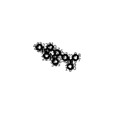 c1ccc(N(c2ccccc2)c2ccc(-c3ccc4c5cccc6c5c5c(cccc5n5c7ccccc7c3c45)n6-c3ccccc3)cc2)cc1